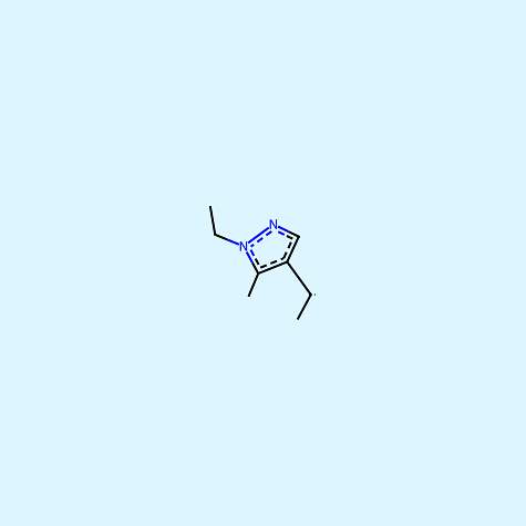 C[CH]c1cnn(CC)c1C